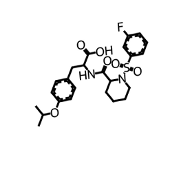 CC(C)Oc1ccc(CC(NC(=O)C2CCCCN2S(=O)(=O)c2cccc(F)c2)C(=O)O)cc1